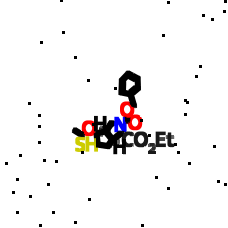 CCOC(=O)C1[C@H]2CCC(OC(C)S)[C@H]2CN1C(=O)OCc1ccccc1